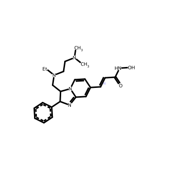 CCN(CCN(C)C)CC1C(c2ccccc2)N=C2C=C(/C=C/C(=O)NO)C=CN21